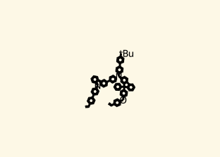 C=Cc1ccc(Oc2ccc(C3(c4ccccc4)c4ccccc4-c4ccc(N(c5ccc(-c6ccc(C(C)(C)C)cc6)cc5)c5ccc(-c6ccc7c(c6)c6ccccc6n7-c6ccc(-c7ccc(C=C)cc7)cc6)cc5)cc43)cc2)cc1